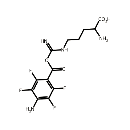 N=C(NCCCC(N)C(=O)O)OC(=O)c1c(F)c(F)c(N)c(F)c1F